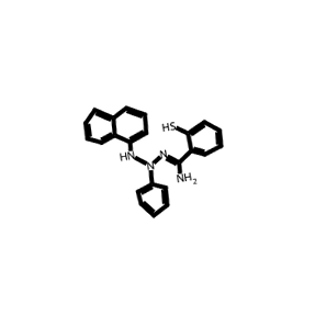 N/C(=N\N(Nc1cccc2ccccc12)c1ccccc1)c1ccccc1S